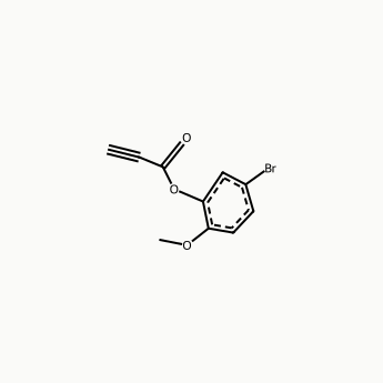 C#CC(=O)Oc1cc(Br)ccc1OC